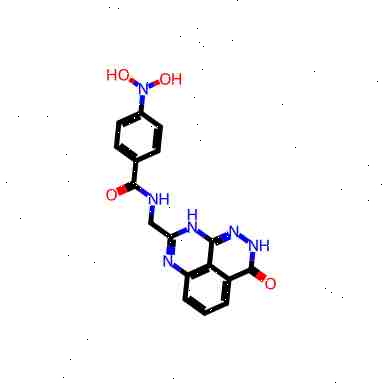 O=C(NCC1=Nc2cccc3c(=O)[nH]nc(c23)N1)c1ccc(N(O)O)cc1